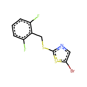 Fc1cccc(F)c1CSc1ncc(Br)s1